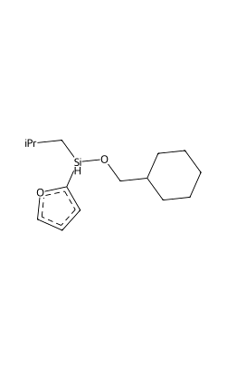 CC(C)C[SiH](OCC1CCCCC1)c1ccco1